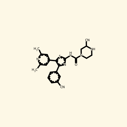 Cc1cc(-c2sc(NC(=O)N3CCNC(C#N)C3)nc2-c2cccc(C#N)c2)cc(C)n1